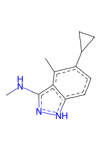 CNc1n[nH]c2ccc(C3CC3)c(C)c12